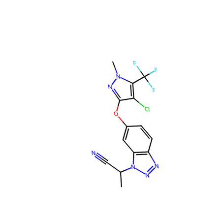 CC(C#N)n1nnc2ccc(Oc3nn(C)c(C(F)(F)F)c3Cl)cc21